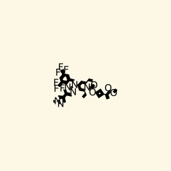 C=C(C(=O)OC)[C@H]1C[C@H](OC(=O)N2[C@H](CC)C[C@H](N(Cc3cc(C(F)(F)F)cc(C(F)(F)F)c3)c3ncc(-c4cnn(C)c4)cn3)C[C@@H]2CC)C1